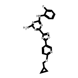 Nc1nc(Nc2ccccc2F)nc(-c2noc(-c3ccc(OCC4CC4)nc3)n2)n1